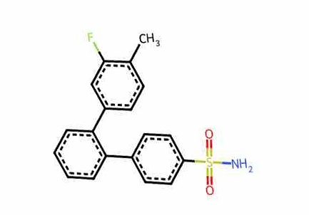 Cc1ccc(-c2ccccc2-c2ccc(S(N)(=O)=O)cc2)cc1F